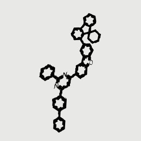 c1ccc(-c2ccc(-c3cc(-c4ccc5oc6ccc(-c7cccc8c7C7(CCCCC7)c7ccccc7-8)cc6c5c4)nc(-c4ccccc4)n3)cc2)cc1